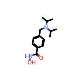 CC(C)N(Cc1ccc(C(=O)NO)cc1)C(C)C